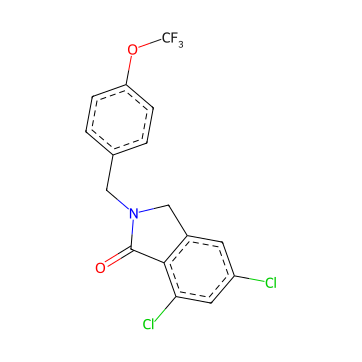 O=C1c2c(Cl)cc(Cl)cc2CN1Cc1ccc(OC(F)(F)F)cc1